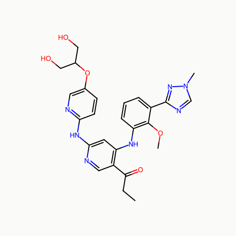 CCC(=O)c1cnc(Nc2ccc(OC(CO)CO)cn2)cc1Nc1cccc(-c2ncn(C)n2)c1OC